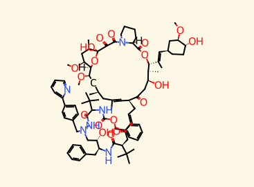 CO[C@H]1C[C@@H](C)[C@@]2(O)O[C@H]1[C@H](OC)C[C@H](C)C/C(C)=C\[C@H](C/C=C/C(=O)C[C@H](C(=O)N[C@@H](Cc1ccccc1)[C@@H](O)CN(Cc1ccc(-c3ccccn3)cc1)NC(=O)C(NC(=O)OCc1ccccc1)C(C)(C)C)C(C)(C)C)C(=O)C[C@H](O)[C@@H](C)[C@@H](/C(C)=C/[C@@H]1CC[C@@H](O)[C@H](OC)C1)OC(=O)[C@@H]1CCCCN1C(=O)C2=O